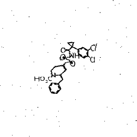 O=C(O)N1CCC(S(=O)(=O)NC(=O)C2(c3ccc(Cl)c(Cl)c3)CC2)CC1Cc1ccccc1